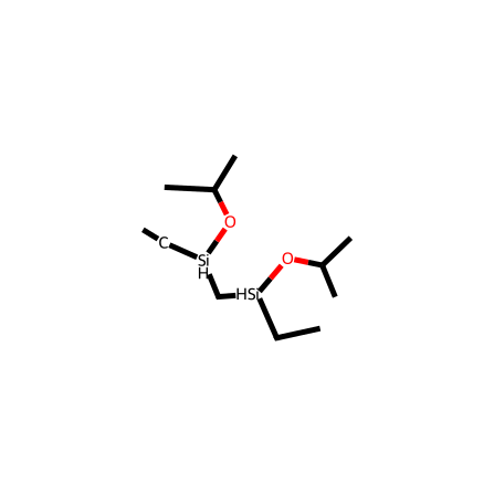 CC[SiH](C[SiH](CC)OC(C)C)OC(C)C